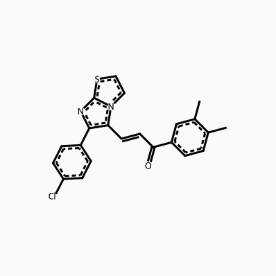 Cc1ccc(C(=O)C=Cc2c(-c3ccc(Cl)cc3)nc3sccn23)cc1C